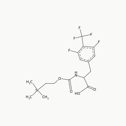 C[Si](C)(C)CCOC(=O)NC(Cc1cc(F)c(C(F)(F)F)c(F)c1)C(=O)O